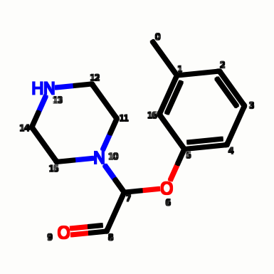 Cc1cccc(OC(C=O)N2CCNCC2)c1